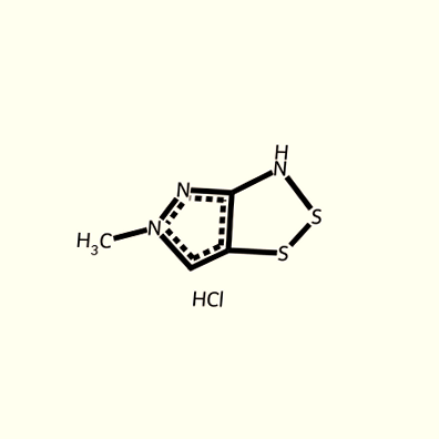 Cl.Cn1cc2c(n1)NSS2